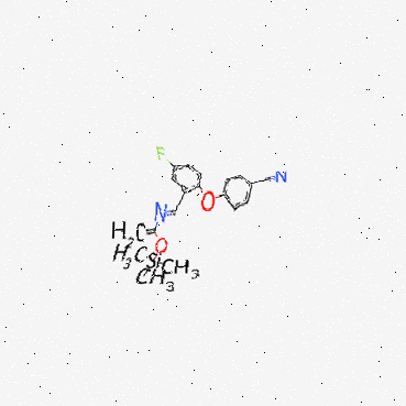 C=C(/N=C/c1cc(F)ccc1Oc1ccc(C#N)cc1)O[Si](C)(C)C